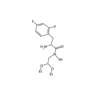 CCOC(CN(C(=O)C(N)Cc1ccc(F)cc1F)C(C)C)OCC